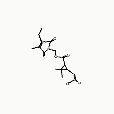 CCC1=C(C)C(=O)N(COC(=O)C2C(C=C(Cl)Cl)C2(C)C)C1=O